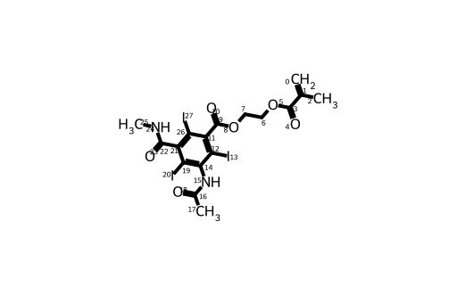 C=C(C)C(=O)OCCOC(=O)c1c(I)c(NC(C)=O)c(I)c(C(=O)NC)c1I